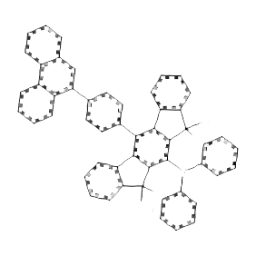 CC1(C)c2ccccc2-c2c(-c3ccc(-c4cc5ccccc5c5ccccc45)cc3)c3c(c(N(c4ccccc4)c4ccccc4)c21)C(C)(C)c1ccccc1-3